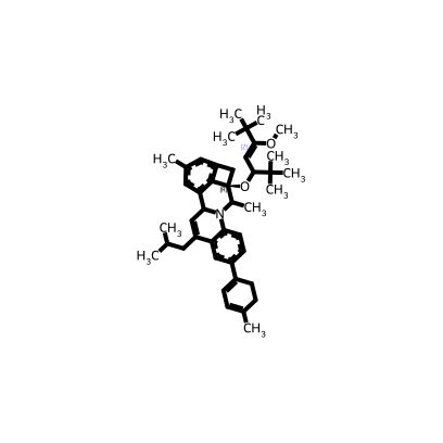 CO/C(=C\C(O[C@]12Cc3cc(C)cc(c31)C1C=C(CC(C)C)c3cc(C4=CC=C(C)CC4)ccc3N1C2C)C(C)(C)C)C(C)(C)C